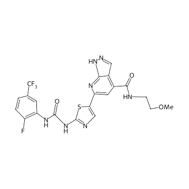 COCCNC(=O)c1cc(-c2cnc(NC(=O)Nc3cc(C(F)(F)F)ccc3F)s2)nc2[nH]ncc12